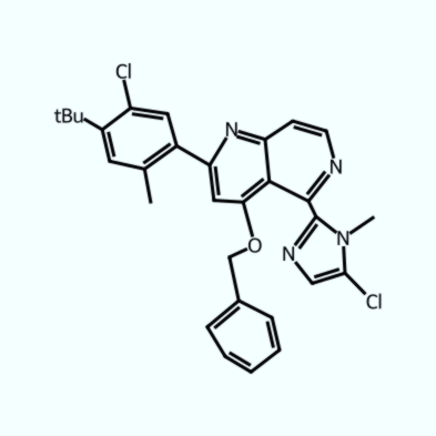 Cc1cc(C(C)(C)C)c(Cl)cc1-c1cc(OCc2ccccc2)c2c(-c3ncc(Cl)n3C)nccc2n1